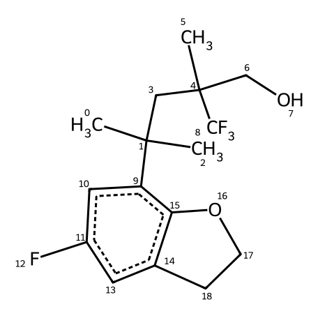 CC(C)(CC(C)(CO)C(F)(F)F)c1cc(F)cc2c1OCC2